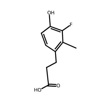 Cc1c(CCC(=O)O)ccc(O)c1F